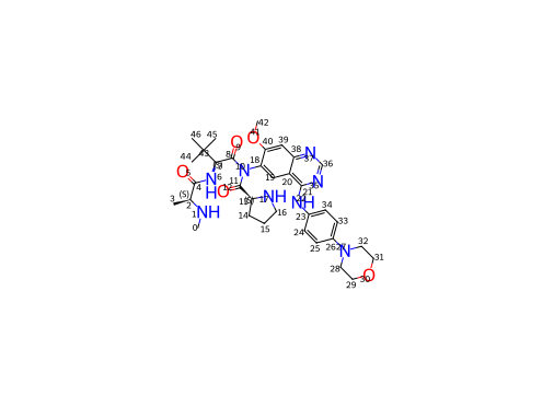 CN[C@@H](C)C(=O)N[C@H](C(=O)N(C(=O)[C@@H]1CCCN1)c1cc2c(Nc3ccc(N4CCOCC4)cc3)ncnc2cc1OC)C(C)(C)C